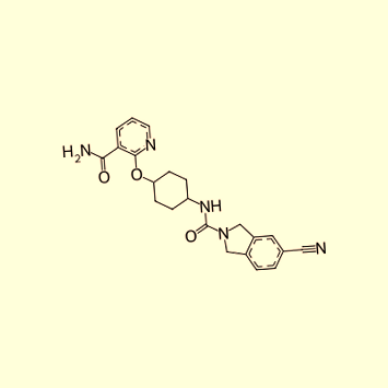 N#Cc1ccc2c(c1)CN(C(=O)NC1CCC(Oc3ncccc3C(N)=O)CC1)C2